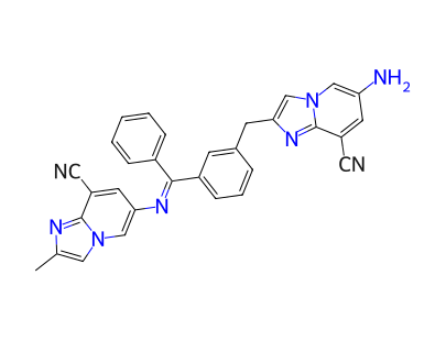 Cc1cn2cc(/N=C(\c3ccccc3)c3cccc(Cc4cn5cc(N)cc(C#N)c5n4)c3)cc(C#N)c2n1